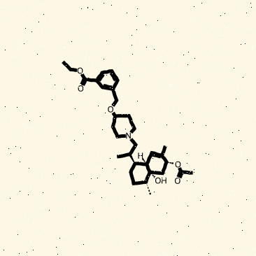 CCOC(=O)c1cccc(COC2CCN(CC(C)[C@@H]3CC[C@@H](C)[C@]4(O)[CH][C@@H](OC(C)=O)C(C)=C[C@H]34)CC2)c1